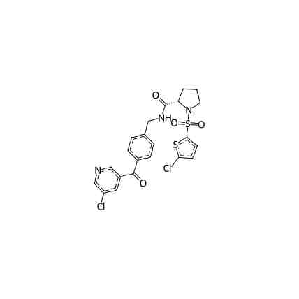 O=C(c1ccc(CNC(=O)[C@@H]2CCCN2S(=O)(=O)c2ccc(Cl)s2)cc1)c1cncc(Cl)c1